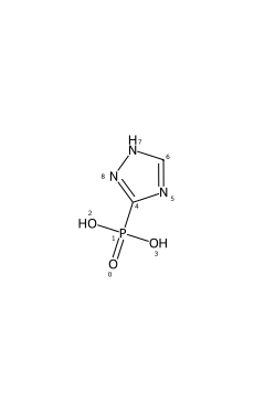 O=P(O)(O)c1nc[nH]n1